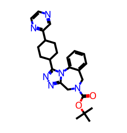 CC(C)(C)OC(=O)N1Cc2ccccc2-n2c(nnc2C2CCC(c3cnccn3)CC2)C1